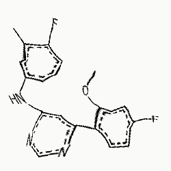 COc1cc(F)ccc1-c1cc(Nc2ccc(F)c(C)c2)ncn1